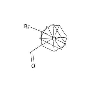 O=C[C]12[CH]3[CH]4[CH]5[C]1(Br)[Fe]45321678[CH]2[CH]1[CH]6[CH]7[CH]28